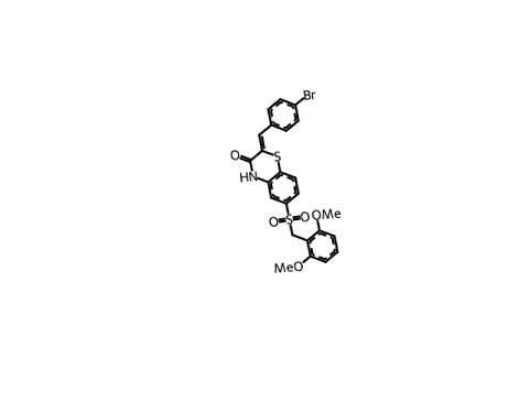 COc1cccc(OC)c1CS(=O)(=O)c1ccc2c(c1)NC(=O)C(=Cc1ccc(Br)cc1)S2